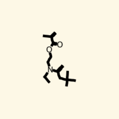 C=C(C)C(=O)OCCN(CC)C(=C)CC(C)(C)C